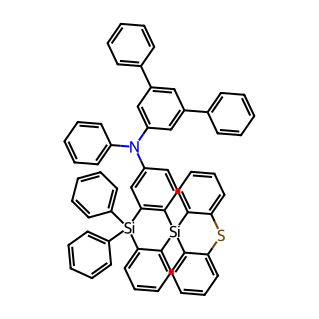 c1ccc(-c2cc(-c3ccccc3)cc(N(c3ccccc3)c3ccc4c(c3)[Si](c3ccccc3)(c3ccccc3)c3ccccc3[Si]43c4ccccc4Sc4ccccc43)c2)cc1